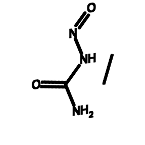 CC.NC(=O)NN=O